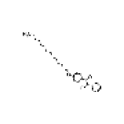 CCCCCCCCCCCCCCOc1ccc(C(=O)C(Cl)c2ccccc2)cc1